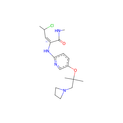 CNC(=O)/C(=C\C(C)Cl)Nc1ccc(OC(C)(C)CN2CCC2)cn1